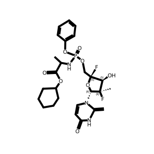 C=C1NC(=O)C=CN1[C@@H]1O[C@](F)(COP(=O)(NC(C)C(=O)OC2CCCCC2)Oc2ccccc2)[C@@H](O)[C@@]1(C)F